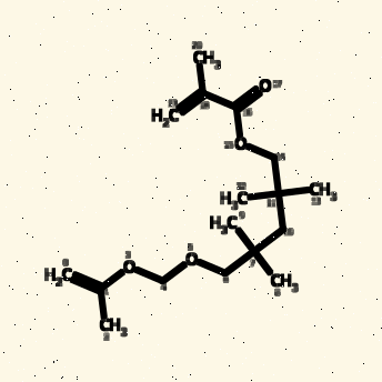 C=C(C)OCOCC(C)(C)CC(C)(C)COC(=O)C(=C)C